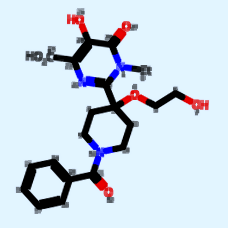 CCn1c(C2(OCCO)CCN(C(=O)c3ccccc3)CC2)nc(C(=O)O)c(O)c1=O